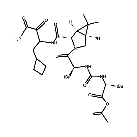 C=C(C)OC(=O)[C@H](NC(=O)N[C@H](C(=O)N1C[C@H]2[C@@H]([C@H]1C(=O)NC(CC1CCC1)C(=O)C(N)=O)C2(C)C)C(C)(C)C)C(C)(C)C